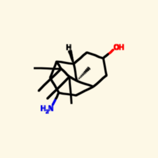 CC1(C)C2CC(N)CC3CC(O)C[C@@H]2[C@]3(C)C1(C)C